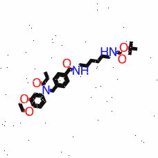 CCC(=O)N(Cc1ccc(C(=O)NCCCCCCNC(=O)OC(C)(C)C)cc1)c1ccc2c(c1)OCCO2